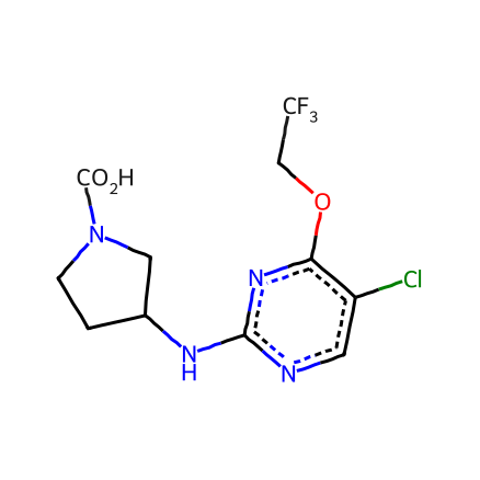 O=C(O)N1CCC(Nc2ncc(Cl)c(OCC(F)(F)F)n2)C1